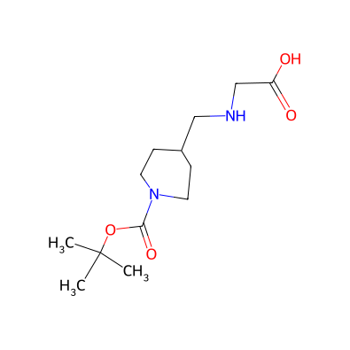 CC(C)(C)OC(=O)N1CCC(CNCC(=O)O)CC1